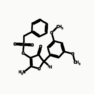 [2H]C1(c2cc(OC)cc(OC)c2)OC(N)=C(OS(=O)(=O)Cc2ccccc2)C1=O